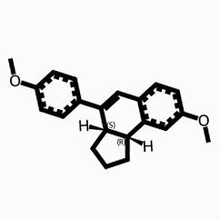 COc1ccc(C2=Cc3ccc(OC)cc3[C@@H]3CCC[C@H]23)cc1